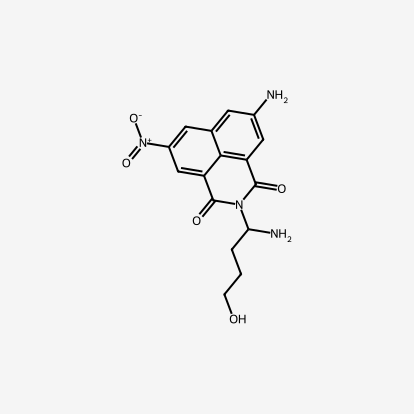 Nc1cc2c3c(cc([N+](=O)[O-])cc3c1)C(=O)N(C(N)CCCO)C2=O